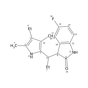 CCc1c(C)[nH]c(C(CC)C2C(=O)Nc3ccc(F)cc32)c1C